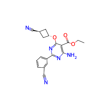 CCOC(=O)c1c(N)nc(-c2cccc(C#N)c2)nc1O[C@H]1C[C@H](C#N)C1